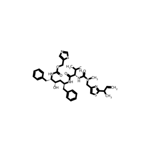 C=CC(C)c1nc(CN(C)C(=O)N[C@H](C(=O)N[C@@H](Cc2ccccc2)C[C@H](O)[C@H](Cc2ccccc2)NC(=O)OCc2cncs2)C(C)C)cs1